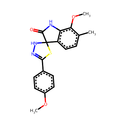 COc1ccc(C2=NNC3(S2)C(=O)Nc2c3ccc(C)c2OC)cc1